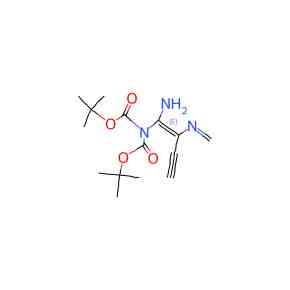 C#C/C(N=C)=C(/N)N(C(=O)OC(C)(C)C)C(=O)OC(C)(C)C